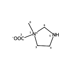 C[N+]1(C(=O)[O-])CCNC1